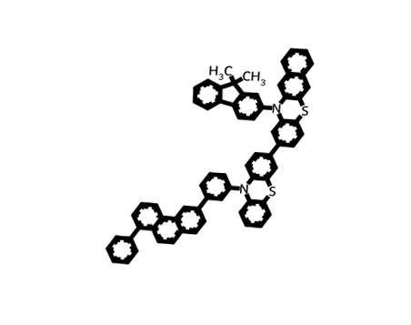 CC1(C)c2ccccc2-c2ccc(N3c4cc(-c5ccc6c(c5)Sc5ccccc5N6c5cccc(-c6ccc7ccc8c(-c9ccccc9)cccc8c7c6)c5)ccc4Sc4cc5ccccc5cc43)cc21